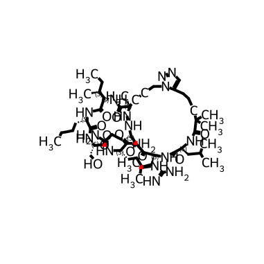 CCCC[C@H](NC(=O)[C@@H](NC(=O)[C@]1(C)CCCn2nncc2CCCC(C)(C)C(=O)N[C@@H](CC(C)C)C(=O)N[C@@H](CC(C)C)C(=O)C(=O)[C@H](CCC(N)=O)NN1)[C@@H](C)CC)C(=O)N[C@@H](CO)C(=O)N[C@@H](CCCNC(=N)N)C(N)=O